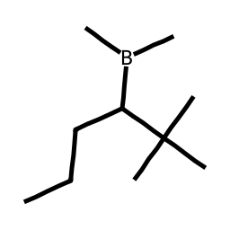 CCCC(B(C)C)C(C)(C)C